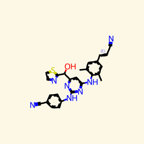 Cc1cc(/C=C/C#N)cc(C)c1Nc1cc(C(O)c2nccs2)nc(Nc2ccc(C#N)cc2)n1